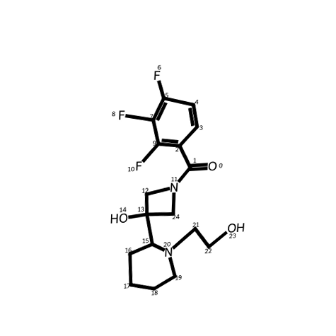 O=C(c1ccc(F)c(F)c1F)N1CC(O)(C2CCCCN2CCO)C1